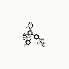 CCNC(=O)Nc1ccc(-c2nc(N3CCOC[C@@H]3C)cc(C3(S(=O)(=O)c4cc(F)ccc4C)CC3)n2)cc1